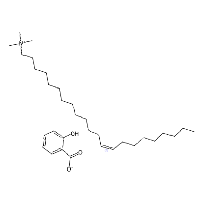 CCCCCCCC/C=C\CCCCCCCCCCCC[N+](C)(C)C.O=C([O-])c1ccccc1O